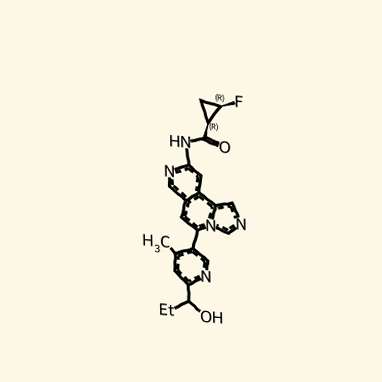 CCC(O)c1cc(C)c(-c2cc3cnc(NC(=O)[C@H]4C[C@H]4F)cc3c3cncn23)cn1